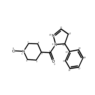 O=C(C1CCN(Cl)CC1)N1N=CCC1c1ccccc1